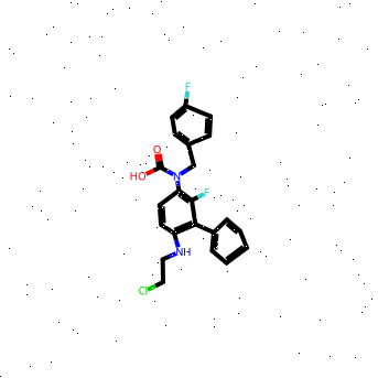 O=C(O)N(Cc1ccc(F)cc1)c1ccc(NCCCl)c(-c2ccccc2)c1F